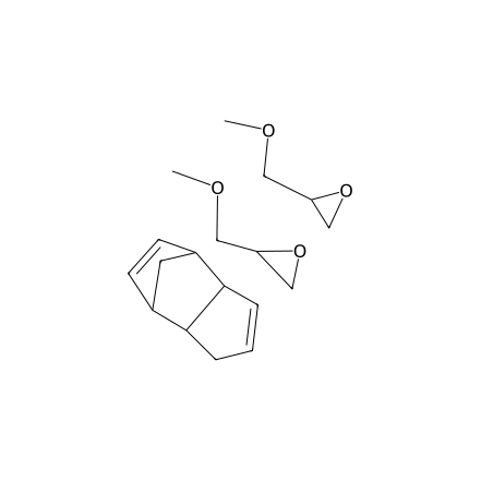 C1=CC2C3C=CC(C3)C2C1.COCC1CO1.COCC1CO1